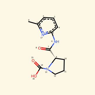 Cc1cccc(NC(=O)[C@@H]2CCCN2C(=O)O)n1